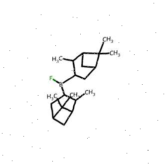 CC1C(B(F)C2CC3CC(C2C)C3(C)C)CC2CC1C2(C)C